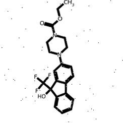 CCOC(=O)N1CCN(c2ccc3c(c2)C(O)(C(F)(F)F)c2ccccc2-3)CC1